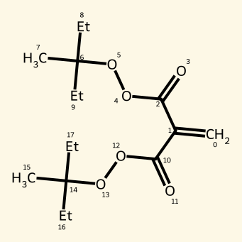 C=C(C(=O)OOC(C)(CC)CC)C(=O)OOC(C)(CC)CC